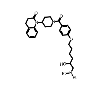 CCN(CC)CC(O)CCCCOc1ccc(C(=O)N2CCC(N3C(=O)CCc4ccccc43)CC2)cc1